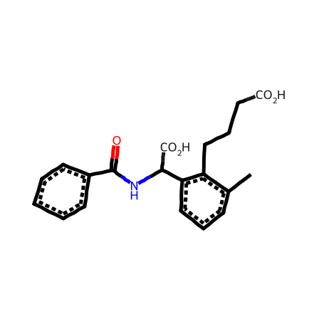 Cc1cccc(C(NC(=O)c2ccccc2)C(=O)O)c1CCCC(=O)O